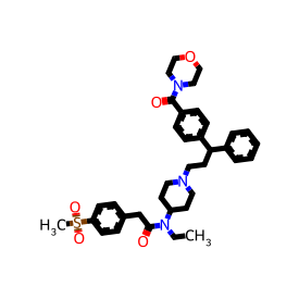 CCN(C(=O)Cc1ccc(S(C)(=O)=O)cc1)C1CCN(CCC(c2ccccc2)c2ccc(C(=O)N3CCOCC3)cc2)CC1